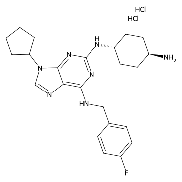 Cl.Cl.N[C@H]1CC[C@H](Nc2nc(NCc3ccc(F)cc3)c3ncn(C4CCCC4)c3n2)CC1